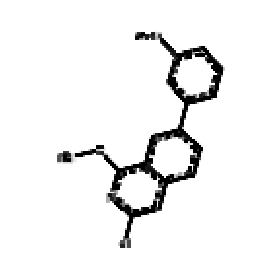 CCCCOc1nc(Cl)cc2ccc(-c3cccc(OC)c3)cc12